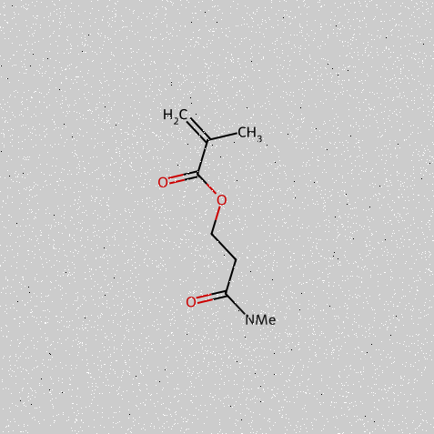 C=C(C)C(=O)OCCC(=O)NC